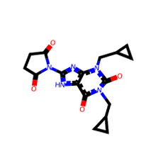 O=C1CCC(=O)N1c1nc2c([nH]1)c(=O)n(CC1CC1)c(=O)n2CC1CC1